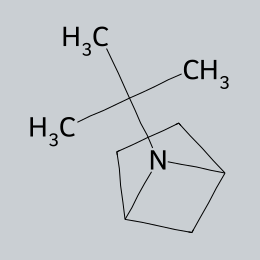 CC(C)(C)N1C2CCC1C2